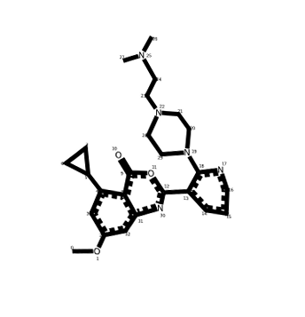 COc1cc(C2CC2)c2c(=O)oc(-c3cccnc3N3CCN(CCN(C)C)CC3)nc2c1